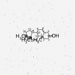 C[C@]12CC[C@H](O)CC1=CCC1C2CC[C@@]2(C)C1CC[C@]2(C)O